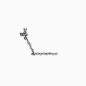 CCN(CC)c1ccc(NC(=O)c2cccc(CCCOCCOCCOCCOCCC(=O)N(C)CCOCCOCCOCCOCCOCCOCCOC)c2)c(-c2cc(C)ccn2)c1